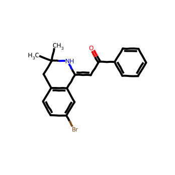 CC1(C)Cc2ccc(Br)cc2C(=CC(=O)c2ccccc2)N1